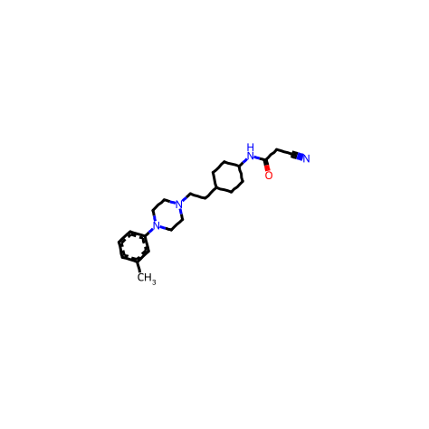 Cc1cccc(N2CCN(CCC3CCC(NC(=O)CC#N)CC3)CC2)c1